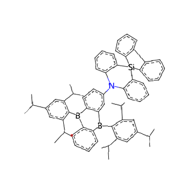 CC(C)c1cc(C(C)C)c(B2c3ccccc3B(c3c(C(C)C)cc(C(C)C)cc3C(C)C)c3cc(N4c5ccccc5[Si]5(c6ccccc6-c6ccccc65)c5ccccc54)ccc32)c(C(C)C)c1